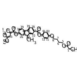 C=CC(=O)OCCCCOc1ccc(OC(=O)c2ccc3c(c2)C(C)c2cc(OC(=O)C(=C)CC(=O)OC)ccc2-3)cc1